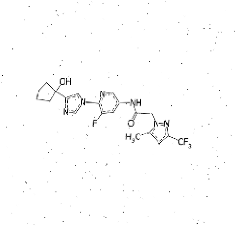 Cc1cc(C(F)(F)F)nn1CC(=O)Nc1cnc(-n2cnc(C3(O)CCCC3)c2)c(F)c1